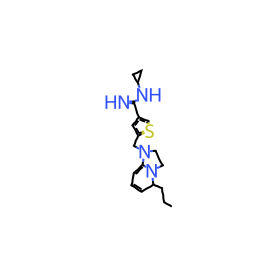 CCCC1C=CC=C2N(Cc3cc(C(=N)NC4CC4)cs3)CCN21